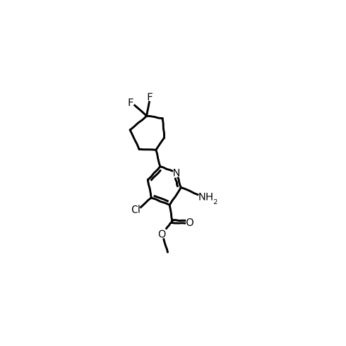 COC(=O)c1c(Cl)cc(C2CCC(F)(F)CC2)nc1N